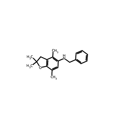 Cc1cc(NCc2ccccc2)c(C)c2c1OC(C)(C)C2